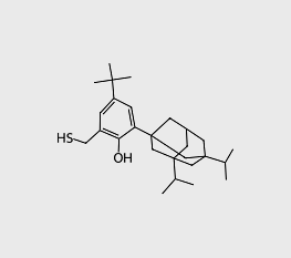 CC(C)C12CC3CC(c4cc(C(C)(C)C)cc(CS)c4O)(C1)CC(C(C)C)(C3)C2